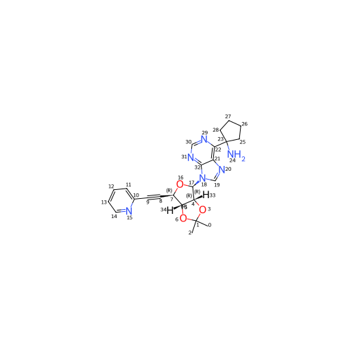 CC1(C)O[C@@H]2[C@H](O1)[C@@H](C#Cc1ccccn1)O[C@H]2n1cnc2c(C3(N)CCCC3)ncnc21